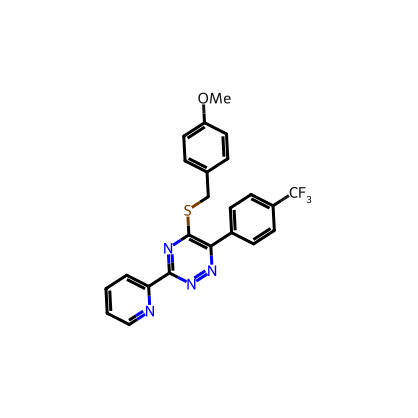 COc1ccc(CSc2nc(-c3ccccn3)nnc2-c2ccc(C(F)(F)F)cc2)cc1